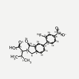 CC(C)C(C(=O)O)N1Cc2ccc(-c3ccc([N+](=O)[O-])cc3F)cc2C1=O